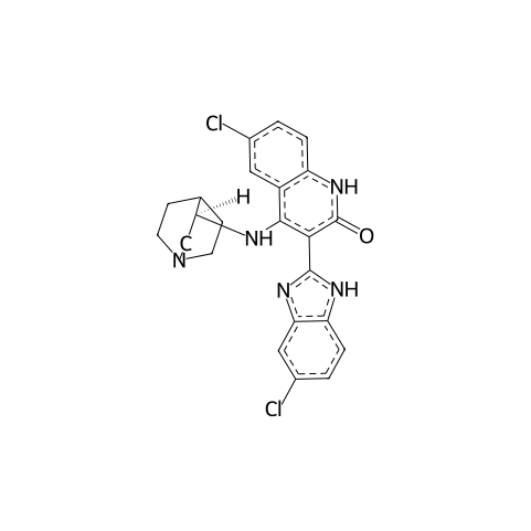 O=c1[nH]c2ccc(Cl)cc2c(N[C@H]2CN3CCC2CC3)c1-c1nc2cc(Cl)ccc2[nH]1